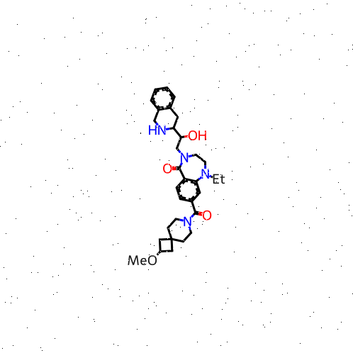 CCN1CCN(CC(O)C2Cc3ccccc3CN2)C(=O)c2ccc(C(=O)N3CCC4(CC3)CC(OC)C4)cc21